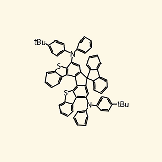 CC(C)(C)c1ccc(N(c2ccccc2)c2cc3c(c4c2sc2ccccc24)-c2c(cc(N(c4ccccc4)c4ccc(C(C)(C)C)cc4)c4c2sc2ccccc24)C32c3ccccc3-c3ccccc32)cc1